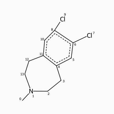 CN1CCc2cc(Cl)c(Cl)cc2CC1